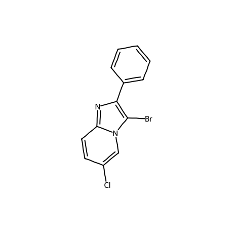 Clc1ccc2nc(-c3ccccc3)c(Br)n2c1